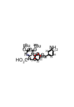 CC(C)(C)OC(=O)/N=C(/N(Cc1ccc(OCc2cccc(N)c2)cc1)C(=O)O)N(C(=O)OC(C)(C)C)C(=O)OC(C)(C)C